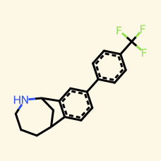 FC(F)(F)c1ccc(-c2ccc3c(c2)C2CC3CCCN2)cc1